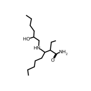 CCCCCC(NCC(O)CCCC)C(CC)C(N)=O